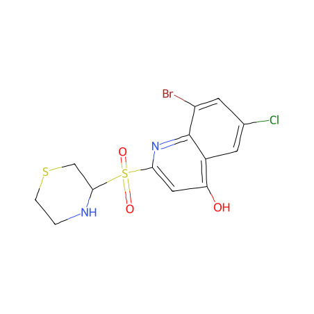 O=S(=O)(c1cc(O)c2cc(Cl)cc(Br)c2n1)C1CSCCN1